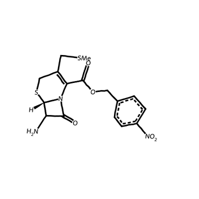 CSCC1=C(C(=O)OCc2ccc([N+](=O)[O-])cc2)N2C(=O)C(N)[C@@H]2SC1